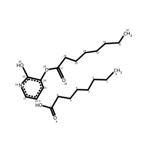 CCCCCCCC(=O)O.CCCCCCCC(=O)Oc1cccnc1O